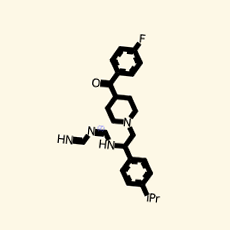 CC(C)c1ccc(C(CN2CCC(C(=O)c3ccc(F)cc3)CC2)N/C=N\C=N)cc1